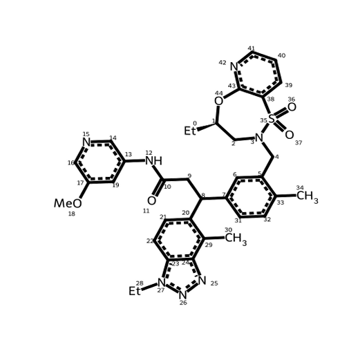 CC[C@@H]1CN(Cc2cc(C(CC(=O)Nc3cncc(OC)c3)c3ccc4c(nnn4CC)c3C)ccc2C)S(=O)(=O)c2cccnc2O1